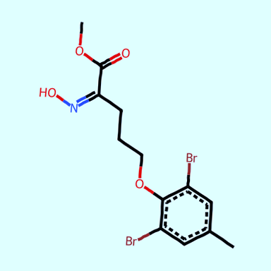 COC(=O)C(CCCOc1c(Br)cc(C)cc1Br)=NO